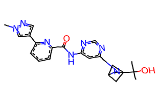 Cn1cc(-c2cccc(C(=O)Nc3cc(N4CC5(C(C)(C)O)CC4C5)ncn3)n2)cn1